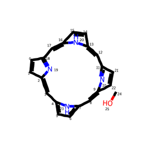 C1=Cc2cc3ccc(cc4nc(cc5ccc(cc1n2)[nH]5)C=C4)[nH]3.CO